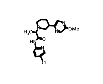 COc1cnc(C2CCCN(C(C)C(=O)Nc3ccc(Cl)cn3)C2)cn1